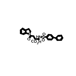 O=C(O)C(CCC(=O)N1CCc2ccccc21)NS(=O)(=O)c1ccc(-c2ccccc2)cc1